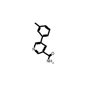 Cc1cccc(-c2cncc(C(N)=O)c2)c1